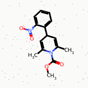 COC(=O)N1C(C)=CC(c2ccccc2[N+](=O)[O-])C=C1C